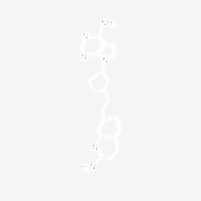 NC1=Nc2cc(CCC3CCC(n4ccc5c(N)ncnc54)C3)ccc2CC1